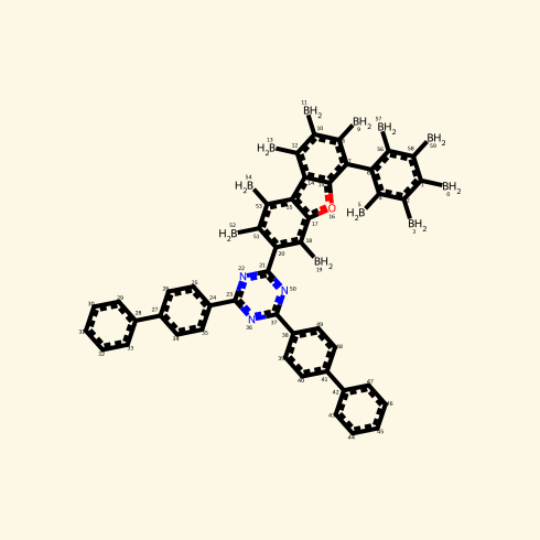 Bc1c(B)c(B)c(-c2c(B)c(B)c(B)c3c2oc2c(B)c(-c4nc(-c5ccc(-c6ccccc6)cc5)nc(-c5ccc(-c6ccccc6)cc5)n4)c(B)c(B)c23)c(B)c1B